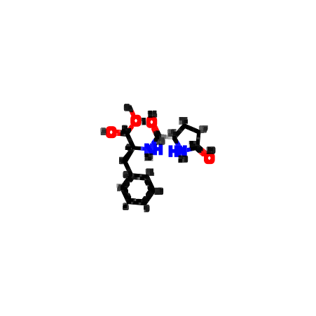 COC(=O)[C@H](Cc1ccccc1)NC(=O)[C@@H]1CCC(=O)N1